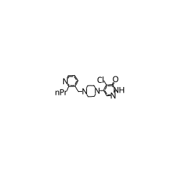 CCCc1ncccc1CN1CCN(c2cn[nH]c(=O)c2Cl)CC1